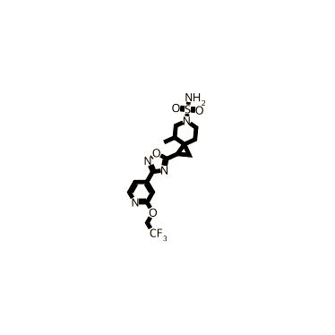 CC1CN(S(N)(=O)=O)CCC12CC2c1nc(-c2ccnc(OCC(F)(F)F)c2)no1